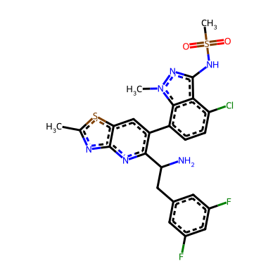 Cc1nc2nc(C(N)Cc3cc(F)cc(F)c3)c(-c3ccc(Cl)c4c(NS(C)(=O)=O)nn(C)c34)cc2s1